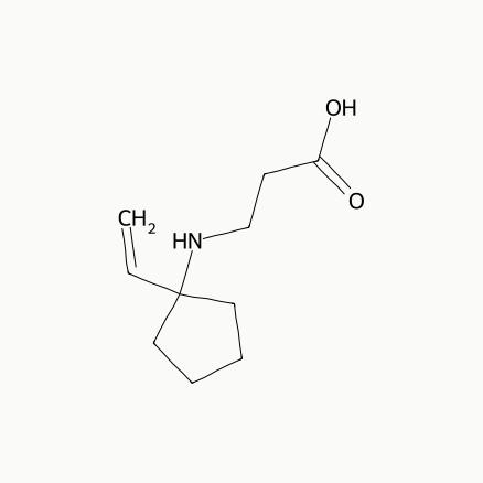 C=CC1(NCCC(=O)O)CCCC1